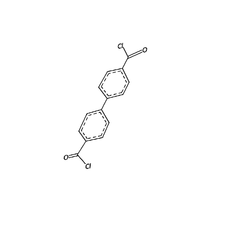 O=C(Cl)c1ccc(-c2ccc(C(=O)Cl)cc2)cc1